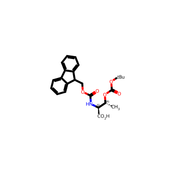 C[C@@H](OC(=O)OC(C)(C)C)[C@H](NC(=O)OCC1c2ccccc2-c2ccccc21)C(=O)O